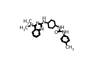 Cc1ccc(NC(=O)NC2CCC(Nc3nc(N(C)C)c4ccccc4n3)CC2)cc1